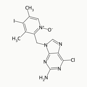 Cc1c[n+]([O-])c(Cn2cnc3c(Cl)nc(N)nc32)c(C)c1I